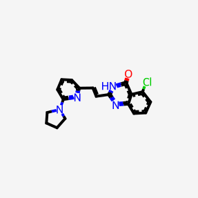 O=c1[nH]c(C=Cc2cccc(N3CCCC3)n2)nc2cccc(Cl)c12